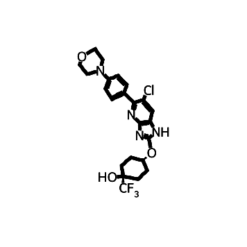 O[C@]1(C(F)(F)F)CC[C@H](Oc2nc3nc(-c4ccc(N5CCOCC5)cc4)c(Cl)cc3[nH]2)CC1